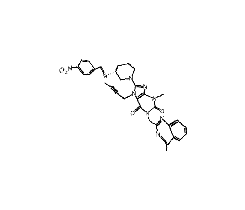 CC#CCn1c(N2CCC[C@@H](/N=C/c3ccc([N+](=O)[O-])cc3)C2)nc2c1c(=O)n(Cc1nc(C)c3ccccc3n1)c(=O)n2C